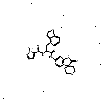 Cn1nccc1C(=O)NC(Cc1cccc2c1CCO2)C(=O)Nc1ccc2c(c1)NC(=O)C21CCOCC1